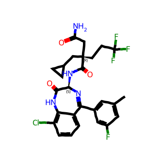 Cc1cc(F)cc(C2=N[C@H](NC(=O)[C@@](CCC(F)(F)F)(CC(N)=O)CC3CC3)C(=O)Nc3c(Cl)cccc32)c1